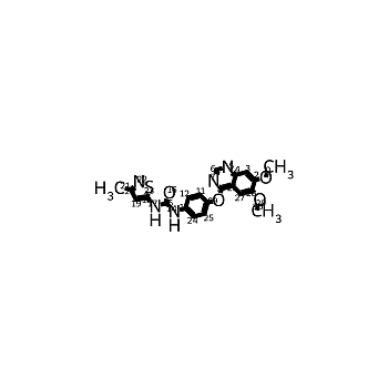 COc1cc2ncnc(Oc3ccc(NC(=O)Nc4cc(C)ns4)cc3)c2cc1OC